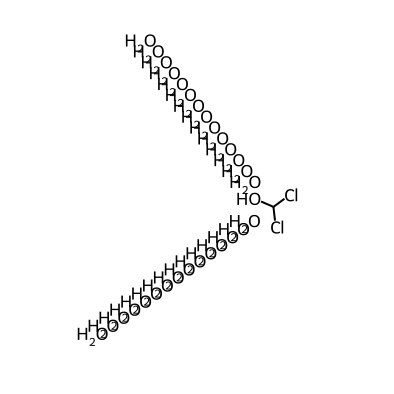 O.O.O.O.O.O.O.O.O.O.O.O.O.O.O.O.O.O.O.O.O.O.O.O.O.O.O.O.O.OC(Cl)Cl